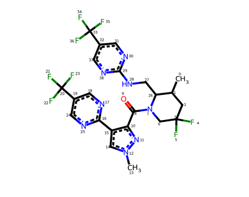 CC1CC(F)(F)CN(C(=O)c2nn(C)cc2-c2ncc(C(F)(F)F)cn2)C1CNc1ncc(C(F)(F)F)cn1